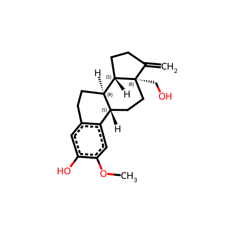 C=C1CC[C@H]2[C@@H]3CCc4cc(O)c(OC)cc4[C@H]3CC[C@]12CO